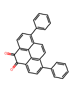 O=c1c(=O)c2ccc(-c3ccccc3)c3ccc4c(-c5ccccc5)ccc1c4c32